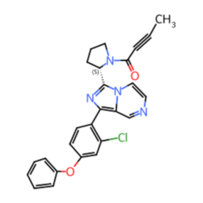 CC#CC(=O)N1CCC[C@H]1c1nc(-c2ccc(Oc3ccccc3)cc2Cl)c2cnccn12